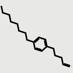 [CH]=CCCCc1ccc(CCCCCCCC)cc1